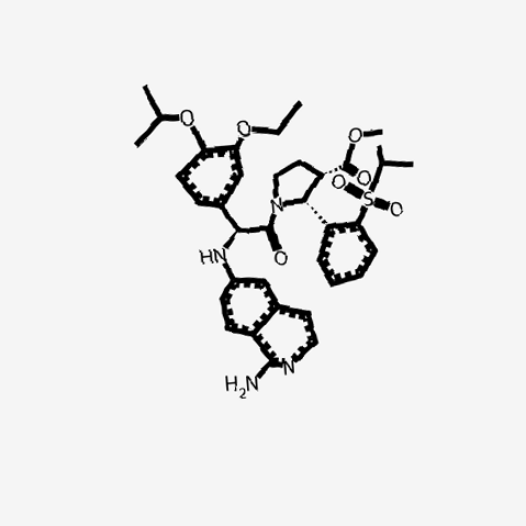 CCOc1cc([C@H](Nc2ccc3c(N)nccc3c2)C(=O)N2CC[C@H](C(=O)OC)[C@@H]2c2ccccc2S(=O)(=O)C(C)C)ccc1OC(C)C